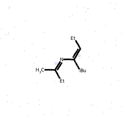 CC/C=C(\N=C(\C)CC)C(C)CC